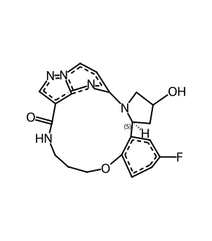 O=C1NCCCOc2ccc(F)cc2[C@@H]2CC(O)CN2c2ccn3ncc1c3n2